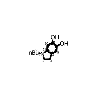 CCCCN1CCc2cc(O)c(O)cc21